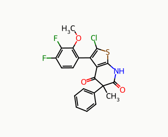 COc1c(-c2c(Cl)sc3c2C(=O)C(C)(c2ccccc2)C(=O)N3)ccc(F)c1F